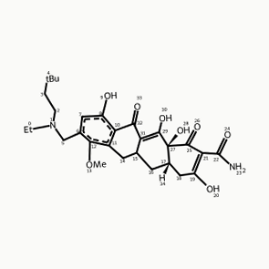 CCN(CCC(C)(C)C)Cc1cc(O)c2c(c1OC)CC1C[C@H]3CC(O)=C(C(N)=O)C(=O)[C@@]3(O)C(O)=C1C2=O